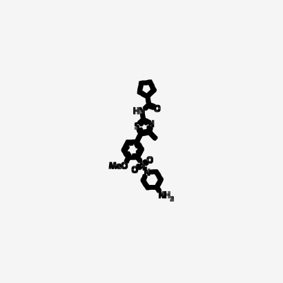 COc1ccc(-c2sc(NC(=O)C3CCCC3)nc2C)cc1S(=O)(=O)N1CCC(N)CC1